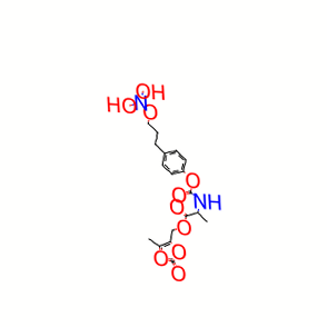 Cc1oc(=O)oc1COC(=O)C(C)NC(=O)Oc1ccc(CCCON(O)O)cc1